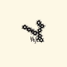 CC1(C)c2ccccc2-c2ccc(N(c3ccc(-c4cccc5c4sc4ccccc45)cc3)c3ccc4sc(-c5ccc(-c6ccccc6)cc5)nc4c3)cc21